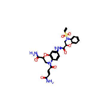 C=CS(=O)(=O)N1CC(C(=O)Nc2ccc3c(c2)OC(C(N)=O)CN3C(=O)/C=C/C(N)=O)Oc2ccccc21